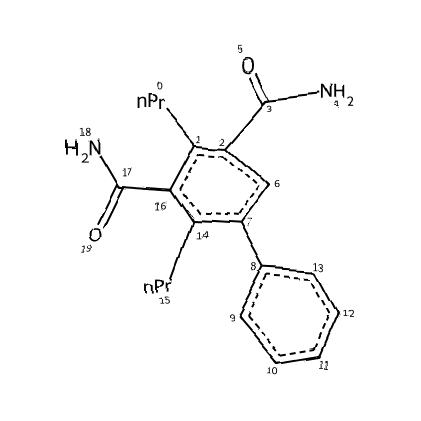 CCCc1c(C(N)=O)cc(-c2ccccc2)c(CCC)c1C(N)=O